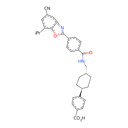 CC(C)c1cc(C#N)cc2nc(-c3ccc(C(=O)NC[C@H]4CC[C@H](c5ccc(C(=O)O)cc5)CC4)cc3)oc12